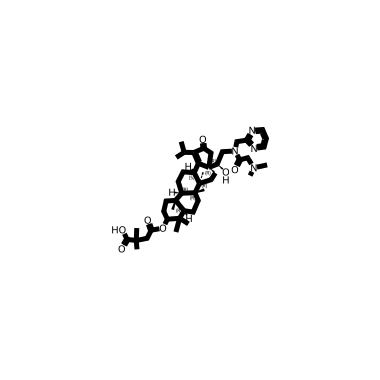 CC(C)C1=C2[C@H]3CC[C@@H]4[C@@]5(C)CCC(OC(=O)CC(C)(C)C(=O)O)C(C)(C)[C@@H]5CC[C@@]4(C)[C@]3(C)CC[C@@]2([C@@H](O)CN(Cc2ncccn2)C(=O)CN(C)C)CC1=O